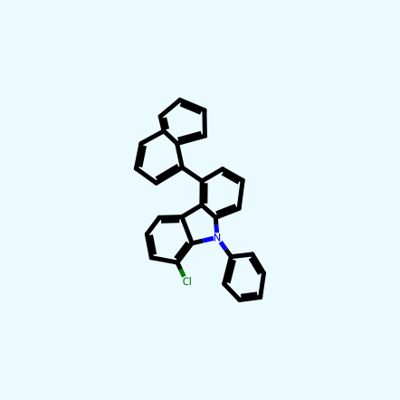 Clc1cccc2c3c(-c4cccc5ccccc45)cccc3n(-c3ccccc3)c12